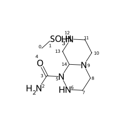 CS(=O)(=O)O.NC(=O)N1NCCN2CCNCC21